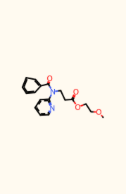 COCCOC(=O)CCN(C(=O)C1=CC=C=C=C1)c1ccccn1